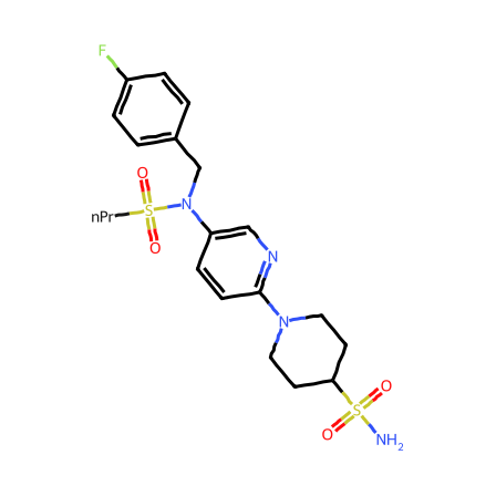 CCCS(=O)(=O)N(Cc1ccc(F)cc1)c1ccc(N2CCC(S(N)(=O)=O)CC2)nc1